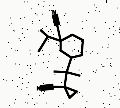 CC(C)C1(C#N)CCCC(C(C)(C)C2(C#N)CC2)C1